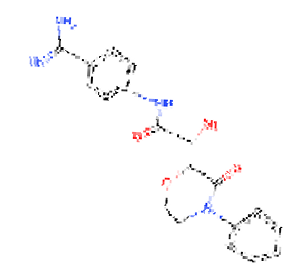 N=C(N)c1ccc(NC(=O)[C@H](O)[C@H]2OCCN(c3ccccc3)C2=O)cc1